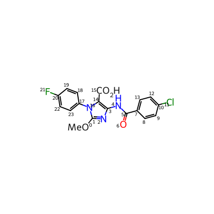 COc1nc(NC(=O)c2ccc(Cl)cc2)c(C(=O)O)n1-c1ccc(F)cc1